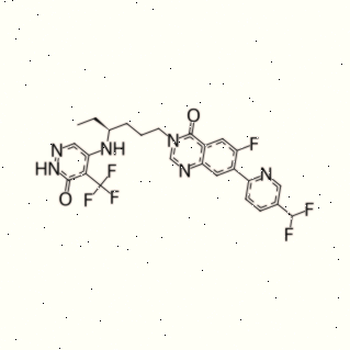 CC[C@@H](CCCn1cnc2cc(-c3ccc(C(F)F)cn3)c(F)cc2c1=O)Nc1cn[nH]c(=O)c1C(F)(F)F